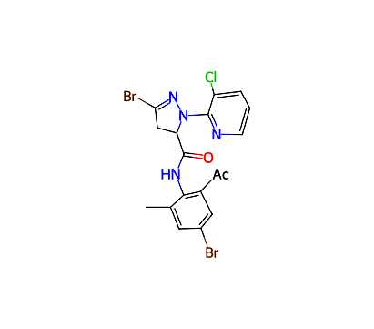 CC(=O)c1cc(Br)cc(C)c1NC(=O)C1CC(Br)=NN1c1ncccc1Cl